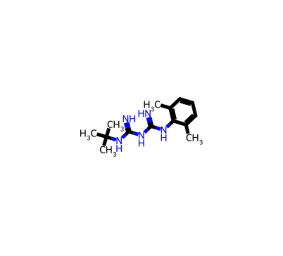 Cc1cccc(C)c1NC(=N)NC(=N)NC(C)(C)C